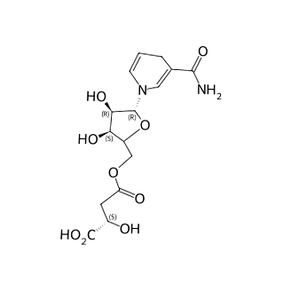 NC(=O)C1=CN([C@@H]2OC(COC(=O)C[C@H](O)C(=O)O)[C@@H](O)[C@H]2O)C=CC1